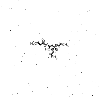 CC=CC(=O)OCC(O)CP(=O)(OCCC)OCCC